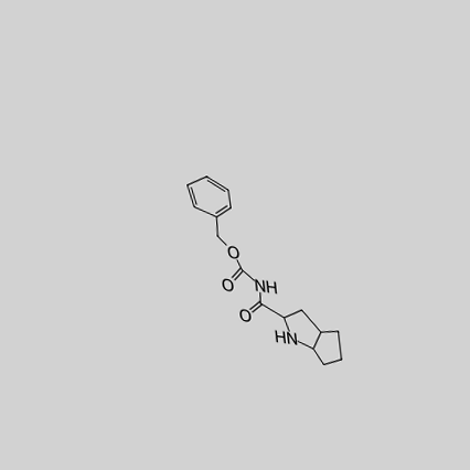 O=C(NC(=O)C1CC2CCCC2N1)OCc1ccccc1